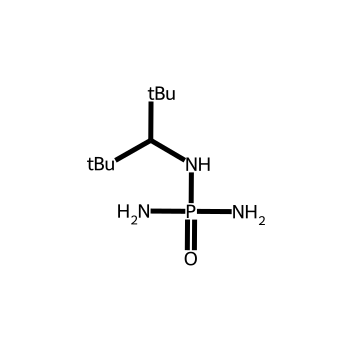 CC(C)(C)C(NP(N)(N)=O)C(C)(C)C